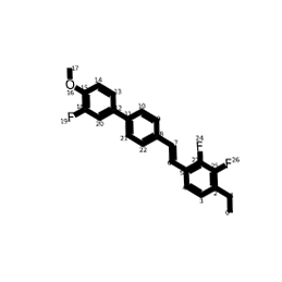 CCc1ccc(/C=C/c2ccc(-c3ccc(OC)c(F)c3)cc2)c(F)c1F